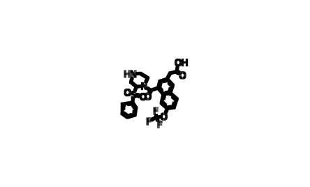 O=C(O)Cc1cc(C(=O)N2CCNCC2S(=O)(=O)c2ccccc2)c2cc(OC(F)(F)F)ccc2c1